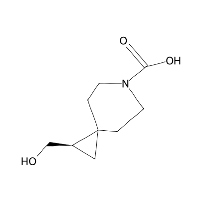 O=C(O)N1CCC2(CC1)C[C@H]2CO